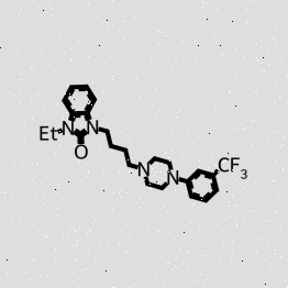 CCn1c(=O)n(CCCCN2CCN(c3cccc(C(F)(F)F)c3)CC2)c2ccccc21